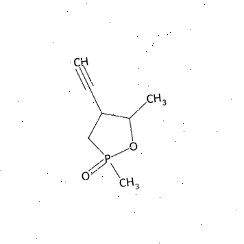 C#CC1CP(C)(=O)OC1C